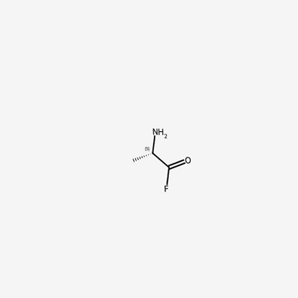 C[C@H](N)C(=O)F